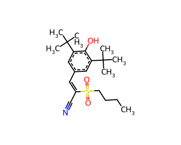 CCCCS(=O)(=O)/C(C#N)=C\c1cc(C(C)(C)C)c(O)c(C(C)(C)C)c1